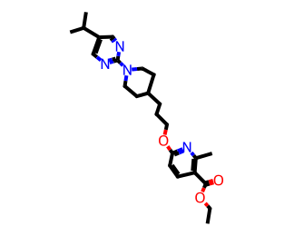 CCOC(=O)c1ccc(OCCCC2CCN(c3ncc(C(C)C)cn3)CC2)nc1C